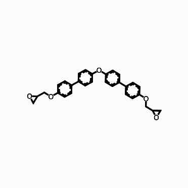 c1cc(-c2ccc(Oc3ccc(-c4ccc(OCC5CO5)cc4)cc3)cc2)ccc1OCC1CO1